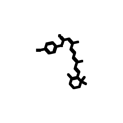 CC1=C(/C=C/C(C)=C/C=C/C(C)=C\C(=O)Sc2ccc(O)cc2)C(C)(C)CCC1